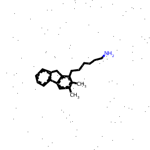 Cc1cc2c(c(CCCCCCN)c1C)Cc1ccccc1-2